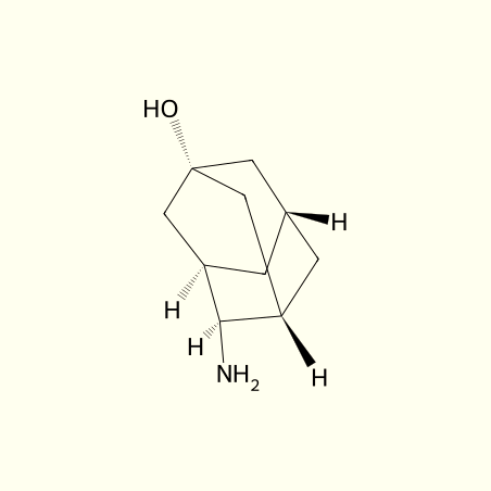 N[C@H]1[C@@H]2C[C@H]3C[C@H]1C[C@](O)(C3)C2